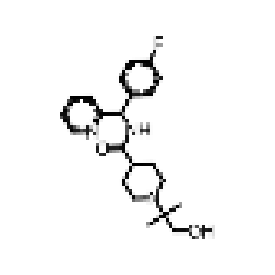 CC(C)(CO)N1CCC(C(=O)NC(c2ccc(F)cc2)c2ccccn2)CC1